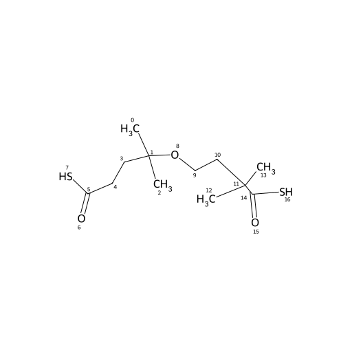 CC(C)(CCC(=O)S)OCCC(C)(C)C(=O)S